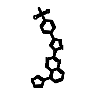 CS(=O)(=O)c1ccc(-c2cnn(-c3ncc4c(-c5ccsc5)cccc4n3)c2)cc1